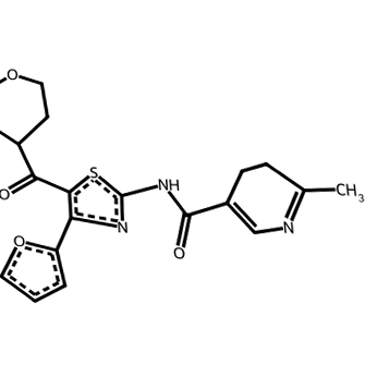 CC1=NC=C(C(=O)Nc2nc(-c3ccco3)c(C(=O)C3CCOCC3)s2)CC1